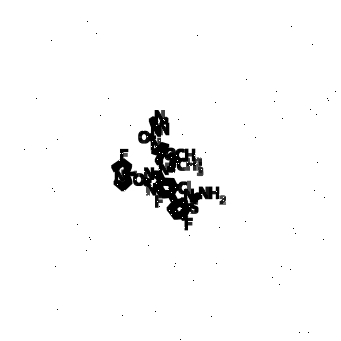 CC1(C)CN(c2nc(OC[C@@]34CCCN3C[C@H](F)C4)nc3c(F)c(-c4ccc(F)c5sc(N)nc45)c(Cl)cc23)CC2(CN(C(=O)n3cncn3)C2)O1